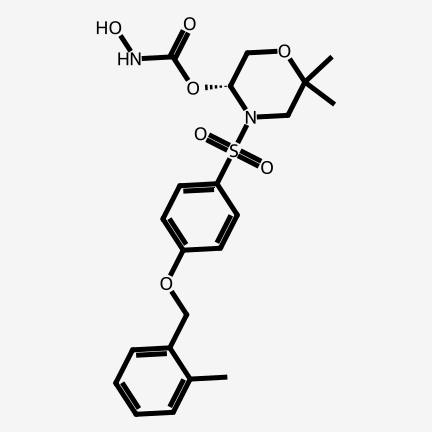 Cc1ccccc1COc1ccc(S(=O)(=O)N2CC(C)(C)OC[C@H]2OC(=O)NO)cc1